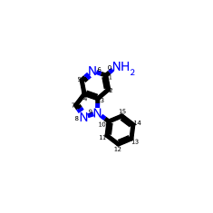 Nc1cc2c(cn1)cnn2-c1ccccc1